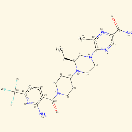 CC[C@H]1CN(c2ncc(C(N)=O)nc2C)CCN1C1CCN(C(=O)c2ccc(C(F)(F)F)nc2N)CC1